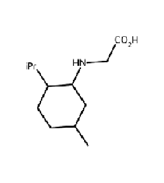 CC1CCC(C(C)C)C(NCC(=O)O)C1